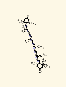 CC1=C(/C=C/C(C)=C/C=C/C(C)=C/C=C/C=C(C)/C=C/C=C(C)/C=C/C2=C(C)CC(=O)CC2(C)C)C(C)(C)CC(=O)C1